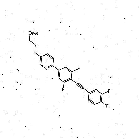 COCCCc1ccc(-c2cc(F)c(C#Cc3ccc(F)c(F)c3)c(F)c2)nc1